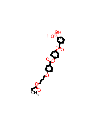 C=CC(=O)OCCCCOc1ccc(C(=O)Oc2ccc(OC(=O)c3cccc(B(O)O)c3)cc2)cc1